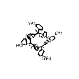 CC1(c2cccc(O)c2)c2ccc([nH]2)[C@](C)(c2cccc(O)c2)c2ccc([nH]2)[C@](C)(c2cccc(O)c2)c2ccc([nH]2)[C@](C)(c2cccc(O)c2)c2ccc1[nH]2